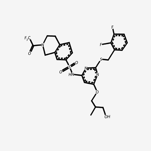 CC(CO)COc1cc(NS(=O)(=O)c2ccc3c(c2)CN(C(=O)C(F)(F)F)CC3)nc(SCc2cccc(F)c2F)n1